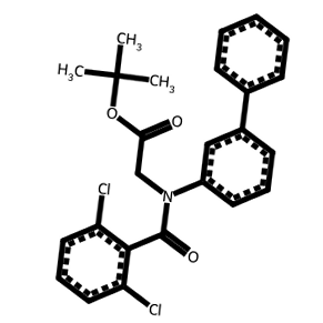 CC(C)(C)OC(=O)CN(C(=O)c1c(Cl)cccc1Cl)c1cccc(-c2ccccc2)c1